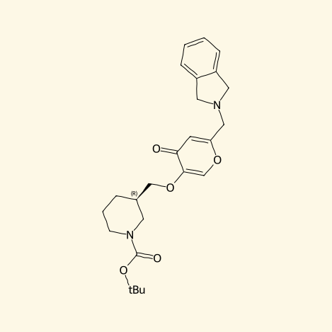 CC(C)(C)OC(=O)N1CCC[C@@H](COc2coc(CN3Cc4ccccc4C3)cc2=O)C1